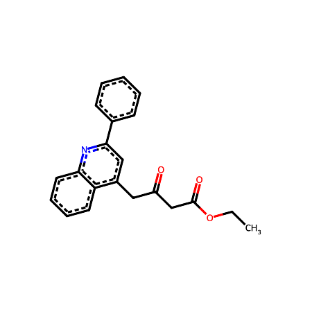 CCOC(=O)CC(=O)Cc1cc(-c2ccccc2)nc2ccccc12